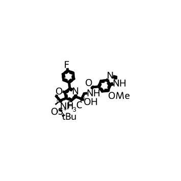 COc1cc(C(=O)NC[C@@](O)(c2cc3c(c(-c4ccc(F)cc4)n2)OC[C@@]3(C)N[S+]([O-])C(C)(C)C)C(F)(F)F)cc2nc[nH]c12